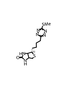 CSc1nnc(CCCC[C@@H]2SCC3NC(=O)NC32)nn1